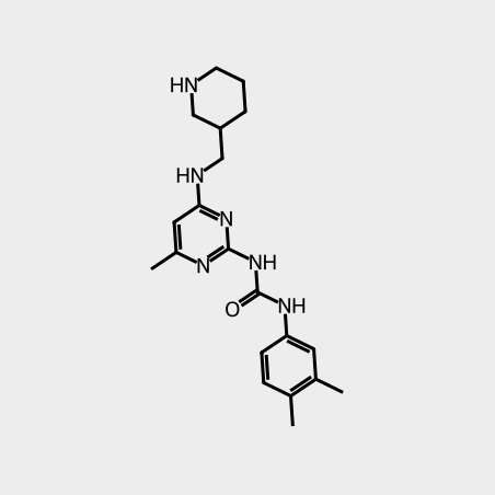 Cc1cc(NCC2CCCNC2)nc(NC(=O)Nc2ccc(C)c(C)c2)n1